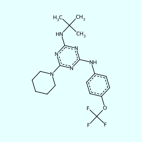 CC(C)(C)Nc1nc(Nc2ccc(OC(F)(F)F)cc2)nc(N2CCCCC2)n1